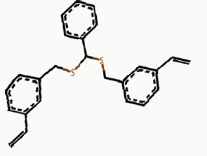 C=Cc1cccc(CSC(SCc2cccc(C=C)c2)c2ccccc2)c1